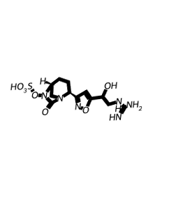 N=C(N)NCC(O)c1cc([C@@H]2CC[C@@H]3CN2C(=O)N3OS(=O)(=O)O)no1